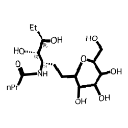 CCCC(=O)N[C@@H](CCC1OC(CO)C(O)C(O)C1O)[C@H](O)[C@H](O)CC